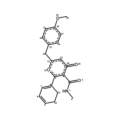 CNC(=O)c1c(C2=CC=CCC2)oc(Cc2ccc(OC)cc2)cc1=O